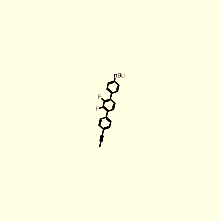 CC#Cc1ccc(-c2ccc(-c3ccc(CCCC)cc3)c(F)c2F)cc1